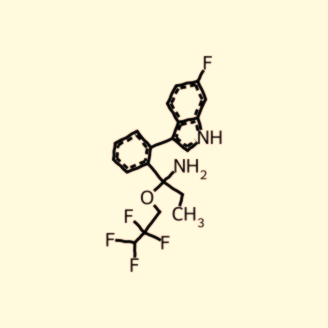 CCC(N)(OCC(F)(F)C(F)F)c1ccccc1-c1c[nH]c2cc(F)ccc12